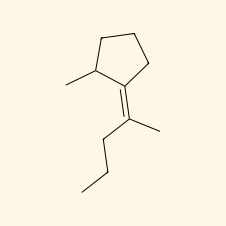 CCCC(C)=C1CCCC1C